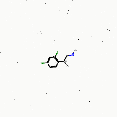 CC(=O)[C@H](CNC(C)C)c1ccc(Cl)cc1F